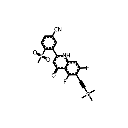 C[Si](C)(C)C#Cc1c(F)cc2[nH]c(-c3cc(C#N)ccc3S(C)(=O)=O)cc(=O)c2c1F